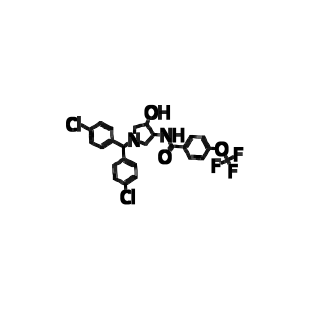 O=C(NC1CN(C(c2ccc(Cl)cc2)c2ccc(Cl)cc2)CC1O)c1ccc(OC(F)(F)F)cc1